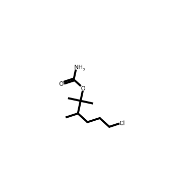 CC(CCCCl)C(C)(C)OC(N)=O